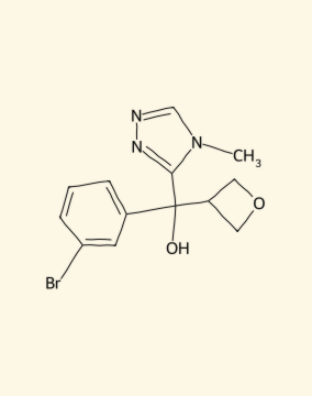 Cn1cnnc1C(O)(c1cccc(Br)c1)C1COC1